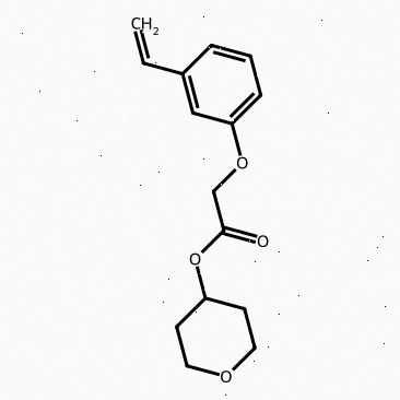 C=Cc1cccc(OCC(=O)OC2CCOCC2)c1